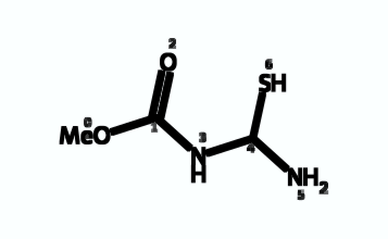 COC(=O)NC(N)S